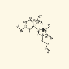 C=CCCC(CCc1cc(CC)ccc1C(=C)C)C(=C)NC